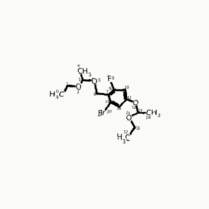 CCOC(C)OCc1c(F)cc(OC(C)OCC)cc1Br